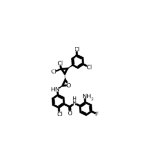 Nc1cc(F)ccc1NC(=O)c1cc(N[C@@H]2OC2[C@H]2[C@H](c3cc(Cl)cc(Cl)c3)C2(Cl)Cl)ccc1Cl